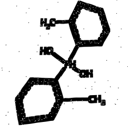 Cc1ccccc1[PH](O)(O)c1ccccc1C